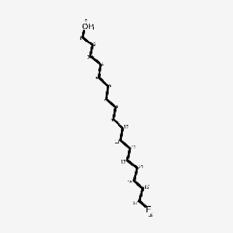 OCCCCCCCCCCCCCCCCCF